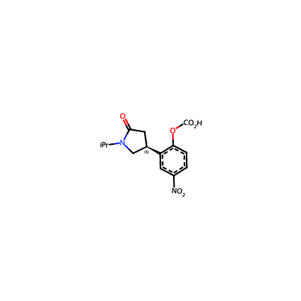 CC(C)N1C[C@H](c2cc([N+](=O)[O-])ccc2OC(=O)O)CC1=O